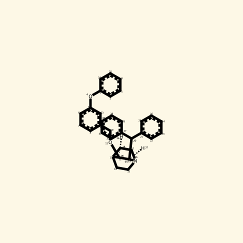 c1ccc(Oc2cccc(CO[C@@H]3C4CCN(CC4)[C@@H]3C(c3ccccc3)c3ccccc3)c2)cc1